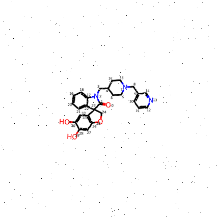 O=C1N(CC2CCN(Cc3cccnc3)CC2)c2ccccc2C12COc1cc(O)c(O)cc12